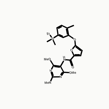 CC[Si](C)(C)c1ccc(C)c(Oc2ccc(C(=O)Nc3c(OC)nc(NC)nc3OC)o2)c1